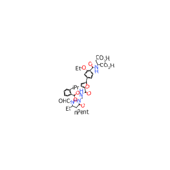 CCCCC[C@@H](C(=O)NCNC(=O)c1ccc(-c2ccc(C(=O)N[C@@H](CC(=O)O)C(=O)O)c(OCC)c2)o1)[C@@H](CC)N(C=O)OC(=O)c1ccccc1C(C)C